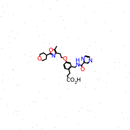 Cc1oc(C2CCOCC2)nc1CCOc1ccc(CCC(=O)O)c(CNC(=O)c2cnccn2)c1